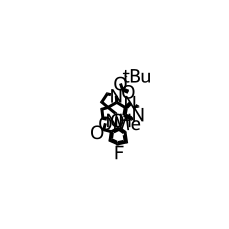 COC(=O)c1cc(F)ccc1Oc1cncnc1C1N(C(=O)OC(C)(C)C)CCC12CCNC2